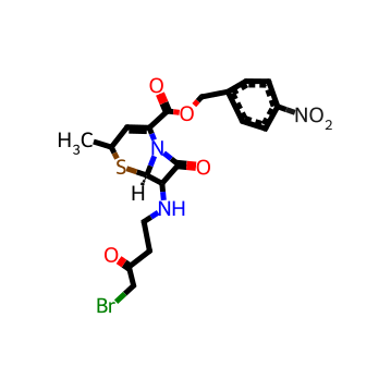 CC1C=C(C(=O)OCc2ccc([N+](=O)[O-])cc2)N2C(=O)C(NCCC(=O)CBr)[C@H]2S1